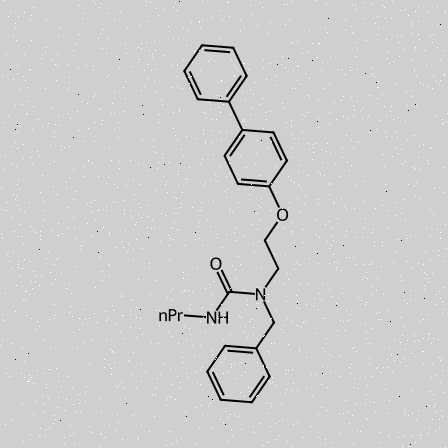 CCCNC(=O)N(CCOc1ccc(-c2ccccc2)cc1)Cc1ccccc1